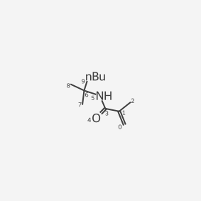 C=C(C)C(=O)NC(C)(C)CCCC